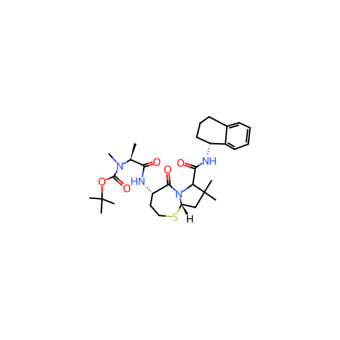 C[C@@H](C(=O)N[C@H]1CCS[C@H]2CC(C)(C)C(C(=O)N[C@@H]3CCCc4ccccc43)N2C1=O)N(C)C(=O)OC(C)(C)C